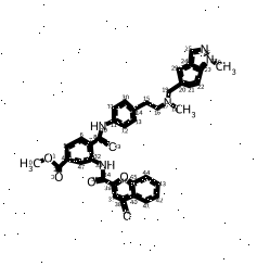 COC(=O)c1ccc(C(=O)Nc2ccc(CCN(C)Cc3ccc4c(cnn4C)c3)cc2)c(NC(=O)c2cc(=O)c3ccccc3o2)c1